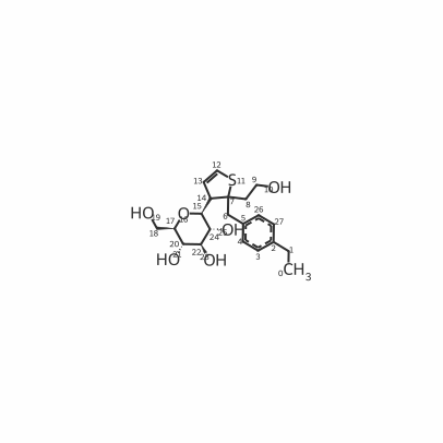 CCc1ccc(CC2(CCO)SC=CC2[C@@H]2O[C@H](CO)[C@@H](O)[C@H](O)[C@H]2O)cc1